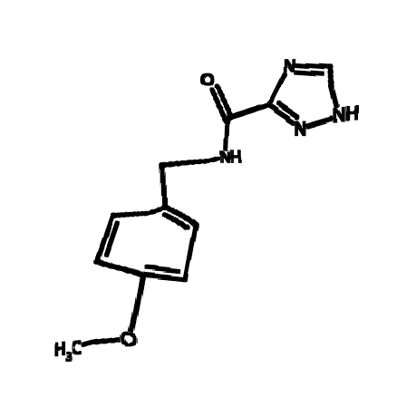 COc1ccc(CNC(=O)c2nc[nH]n2)cc1